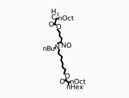 CCCCCCCCC(C)C(=O)OCCCCC(CN(CCCC)CCCCCCCCOC(=O)C(CCCCCC)CCCCCCCC)N=O